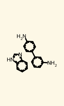 Nc1ccc(-c2cccc(N)c2)cc1.c1ccc2[nH]cnc2c1